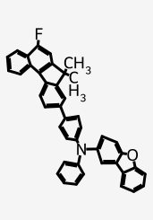 CC1(C)c2cc(-c3ccc(N(c4ccccc4)c4ccc5oc6ccccc6c5c4)cc3)ccc2-c2c1cc(F)c1ccccc21